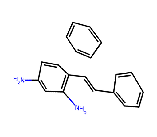 Nc1ccc(C=Cc2ccccc2)c(N)c1.c1ccccc1